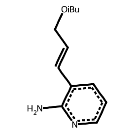 CC(C)COC/C=C/c1cccnc1N